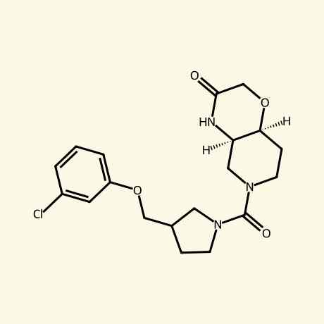 O=C1CO[C@H]2CCN(C(=O)N3CCC(COc4cccc(Cl)c4)C3)C[C@H]2N1